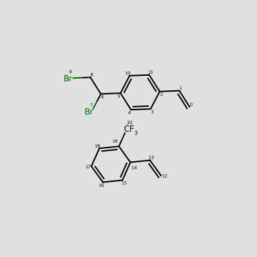 C=Cc1ccc(C(Br)CBr)cc1.C=Cc1ccccc1C(F)(F)F